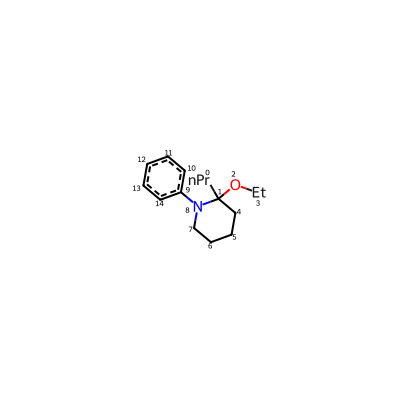 CCCC1(OCC)CCCCN1c1ccccc1